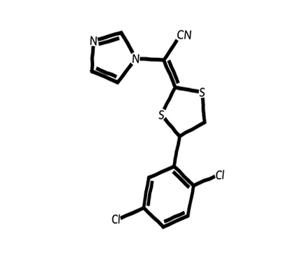 N#C/C(=C1\SCC(c2cc(Cl)ccc2Cl)S1)n1ccnc1